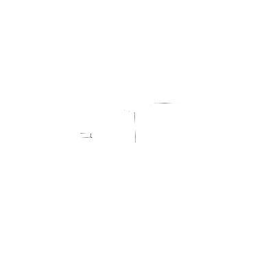 O=C1CCC(CI)O1